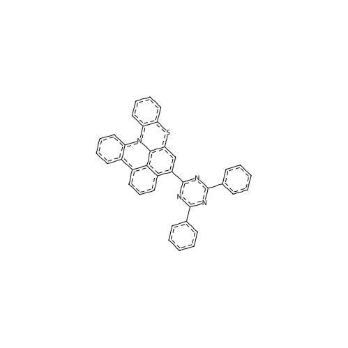 c1ccc(-c2nc(-c3ccccc3)nc(-c3cc4sc5ccccc5n5c6ccccc6c6cccc3c6c4-5)n2)cc1